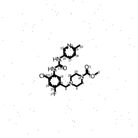 COC(=O)N1CCN(Cc2cc(NC(=O)Nc3ccc(C)nc3)c(Cl)cc2F)CC1